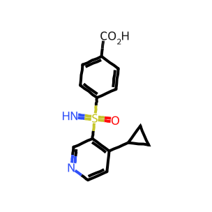 N=S(=O)(c1ccc(C(=O)O)cc1)c1cnccc1C1CC1